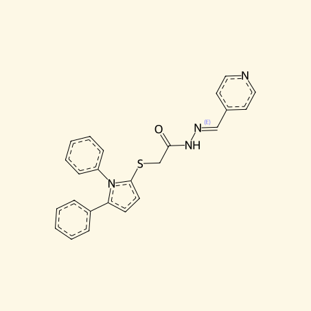 O=C(CSc1ccc(-c2ccccc2)n1-c1ccccc1)N/N=C/c1ccncc1